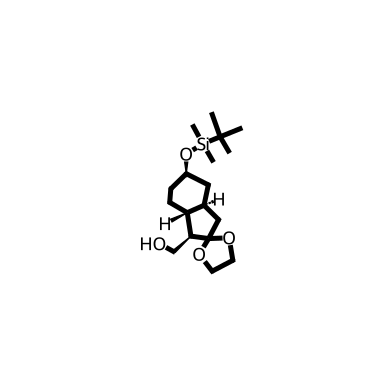 CC(C)(C)[Si](C)(C)O[C@@H]1CC[C@@H]2[C@@H](C1)CC1(OCCO1)[C@H]2CO